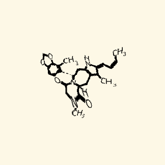 C/C=C\C=C1\NC2=C(C[C@@H]3C(=O)N(C)CC(=O)N3[C@H](c3ccc4c(c3C)OCO4)C2)C1C